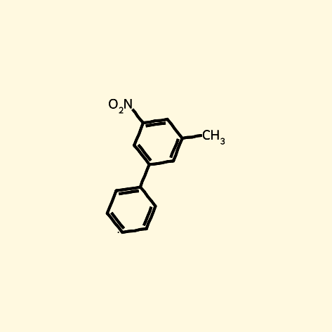 Cc1cc(-c2cc[c]cc2)cc([N+](=O)[O-])c1